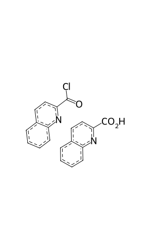 O=C(Cl)c1ccc2ccccc2n1.O=C(O)c1ccc2ccccc2n1